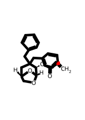 C=CC(=O)O[C@@H]1[C@@H]2OC[C@H](CC1(Cc1ccccc1)Cc1ccccc1)O2